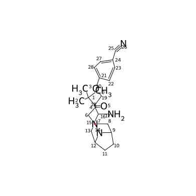 CC(C)(C)C(=O)CN1CC2CCC(C1)N2CC(N)CCOc1ccc(C#N)cc1